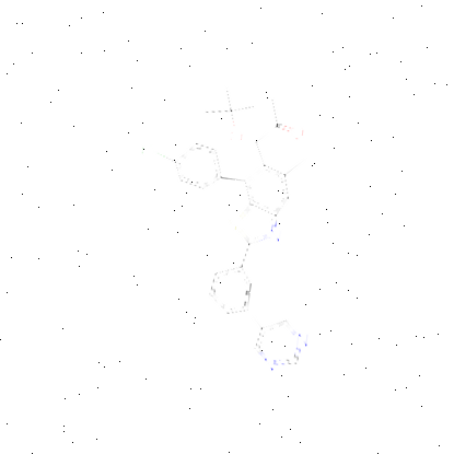 CC(=O)[C@@H](OC(C)(C)C)c1c(C)cc2nc(-c3cccc(-c4cncnc4)c3)sc2c1-c1ccc(Cl)cc1